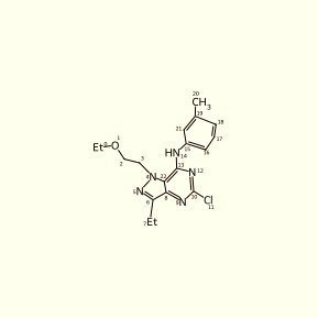 CCOCCn1nc(CC)c2nc(Cl)nc(Nc3cccc(C)c3)c21